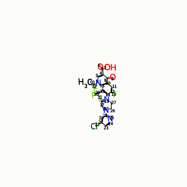 CCn1cc(C(=O)O)c(=O)c2cc(F)c(N3CCN(c4cc(Cl)ccn4)CC3)c(C(F)(F)F)c21